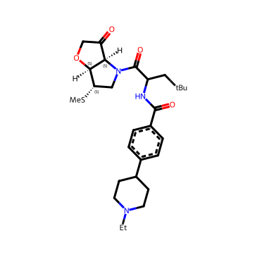 CCN1CCC(c2ccc(C(=O)NC(CC(C)(C)C)C(=O)N3C[C@H](SC)[C@H]4OCC(=O)[C@H]43)cc2)CC1